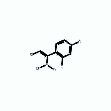 CCP(CC)C(=CCl)c1ccc(Cl)cc1Cl